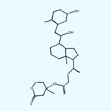 C=C(CCC(C)C1CCC2C(C(O)CC3CC(O)CCC3C)CCCC12C)OC1(C)CCOC(=O)C1